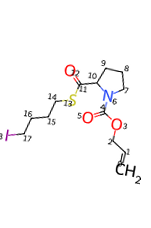 C=CCOC(=O)N1CCCC1C(=O)SCCCCI